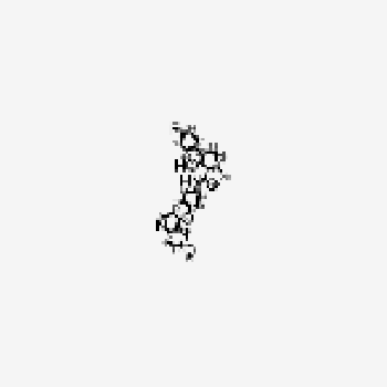 COc1ccc2nccc(Oc3ccc(NC(=O)c4c(C)ncc(-c5ccc(F)cc5)c4O)cc3F)c2n1